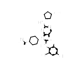 NC(=O)[C@H]1CC[C@H](n2c(Nc3c(Cl)cc(Cl)cc3Cl)nc3cnc(N[C@@H]4CC[C@H](O)C4)nc32)CC1